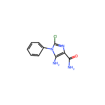 NC(=O)c1nc(Cl)n(-c2ccccc2)c1N